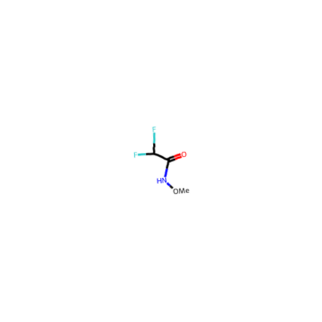 CONC(=O)C(F)F